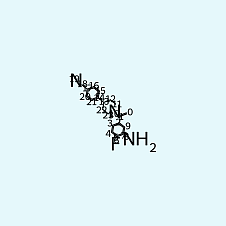 C=C(c1ccc(F)c(N)c1)N1CCC(c2ccc(C#N)cc2)CC1